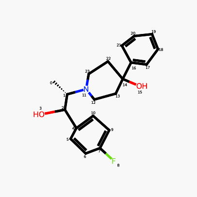 C[C@@H](C(O)c1ccc(F)cc1)N1CCC(O)(c2ccccc2)CC1